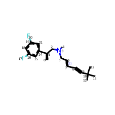 C=C(CN(C)C/C=C/C#CC(C)(C)C)c1cc(F)cc(F)c1